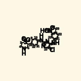 O=S1(=O)CCNCC1c1ccc(Nc2ncc(Cl)c(Nc3ccc4c(c3)N(O)OC4)n2)cc1